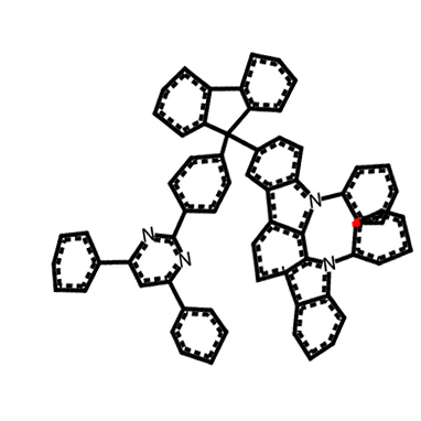 c1ccc(-c2cc(-c3ccccc3)nc(-c3ccc(C4(c5ccc6c(c5)c5ccc7c8ccccc8n(-c8ccccc8)c7c5n6-c5ccccc5)c5ccccc5-c5ccccc54)cc3)n2)cc1